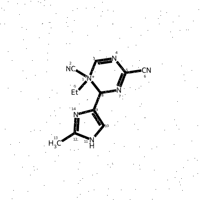 CC[N+]1(C#N)C=NC(C#N)=NC1c1c[nH]c(C)n1